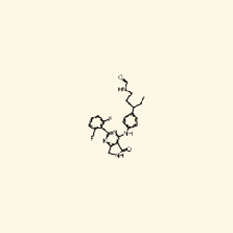 CCC(CCNC=O)c1ccc(Nc2nc(-c3c(F)cccc3F)nc3c2C(=O)NC3)cc1